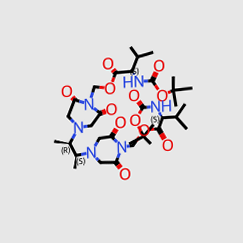 CC(C)[C@H](NC(=O)OC(C)(C)C)C(=O)OCN1C(=O)CN([C@H](C)[C@H](C)N2CC(=O)N(COC(=O)[C@@H](NC(=O)OC(C)(C)C)C(C)C)C(=O)C2)CC1=O